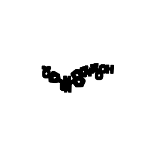 CC(C)Oc1ccc(-c2nc(-c3cccc4c3CCC43CCN(CC4(C(=O)O)CC4)C3)no2)cc1